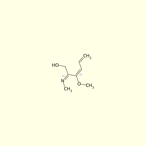 C=C/C=C(OC)\C(CO)=N/C